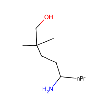 CCCC(N)CCC(C)(C)CO